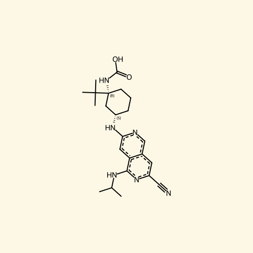 CC(C)Nc1nc(C#N)cc2cnc(N[C@H]3CCC[C@](NC(=O)O)(C(C)(C)C)C3)cc12